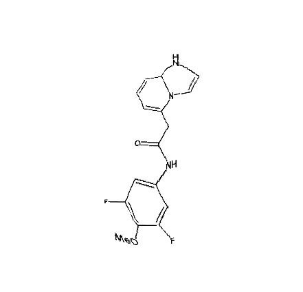 COc1c(F)cc(NC(=O)CC2=CC=CC3NC=CN23)cc1F